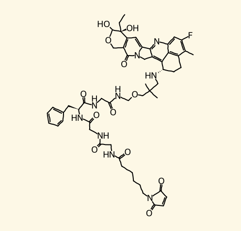 CC[C@]1(O)c2cc3n(c(=O)c2COC1O)Cc1c-3nc2cc(F)c(C)c3c2c1[C@@H](NCC(C)(C)COCNC(=O)CNC(=O)[C@H](Cc1ccccc1)NC(=O)CNC(=O)CNC(=O)CCCCCN1C(=O)C=CC1=O)CC3